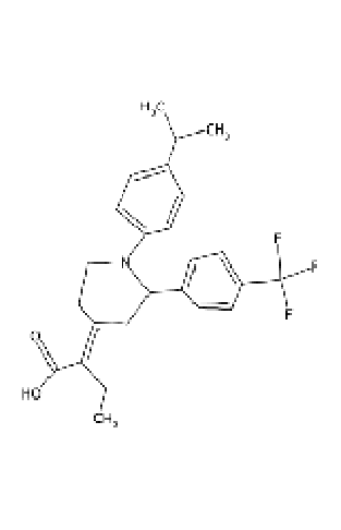 CC/C(C(=O)O)=C1/CCN(c2ccc(C(C)C)cc2)C(c2ccc(C(F)(F)F)cc2)C1